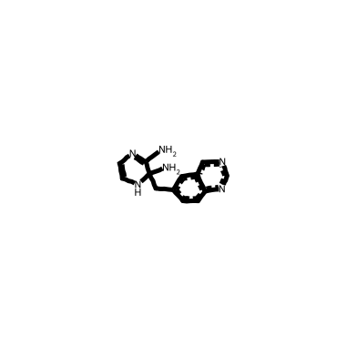 NC1=NC=CNC1(N)Cc1ccc2ncncc2c1